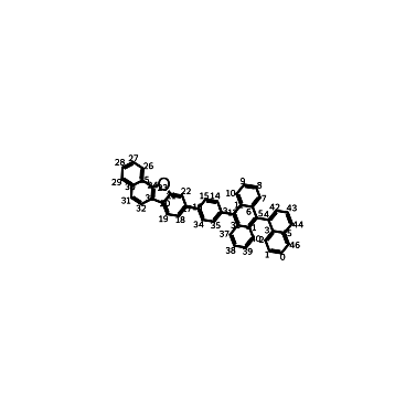 c1ccc2c(-c3c4ccccc4c(-c4ccc(-c5ccc6c(c5)oc5c7ccccc7ccc65)cc4)c4ccccc34)cccc2c1